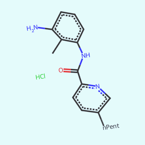 CCCCCc1ccc(C(=O)Nc2cccc(N)c2C)nc1.Cl